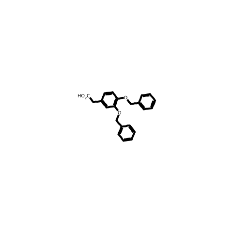 O=C(O)Cc1ccc(OCc2ccccc2)c(OCc2ccccc2)c1